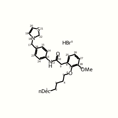 Br.CCCCCCCCCCCCCCOc1c(CC(=O)Nc2ccc(CN3C=CSC3)cc2)cccc1OC